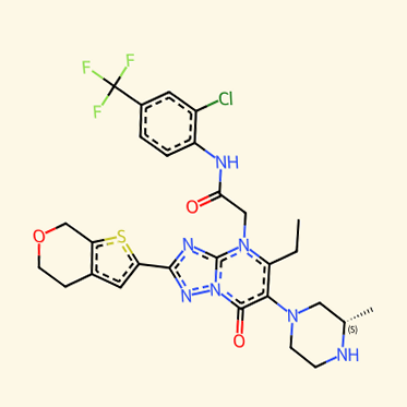 CCc1c(N2CCN[C@@H](C)C2)c(=O)n2nc(-c3cc4c(s3)COCC4)nc2n1CC(=O)Nc1ccc(C(F)(F)F)cc1Cl